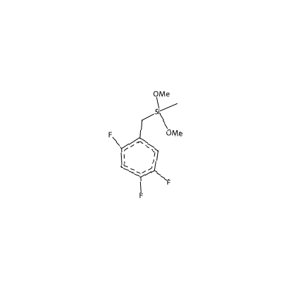 CO[Si](C)(Cc1cc(F)c(F)cc1F)OC